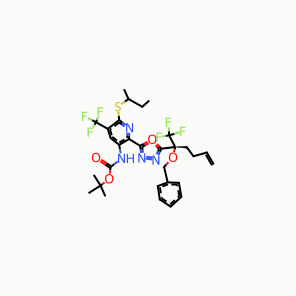 C=CCC[C@@](OCc1ccccc1)(c1nnc(-c2nc(SC(C)CC)c(C(F)(F)F)cc2NC(=O)OC(C)(C)C)o1)C(F)(F)F